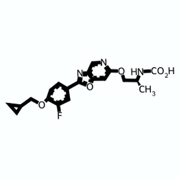 C[C@@H](COc1cc2oc(-c3ccc(OCC4CC4)c(F)c3)nc2cn1)NC(=O)O